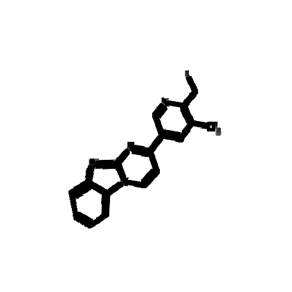 FC(F)(F)c1cc(-c2ccn3c(n2)nc2ccccc23)cnc1CI